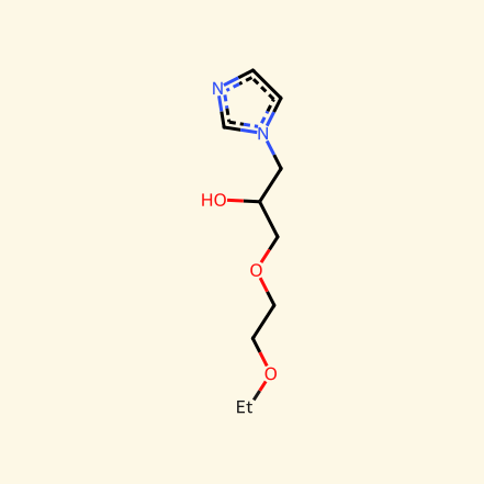 CCOCCOCC(O)Cn1ccnc1